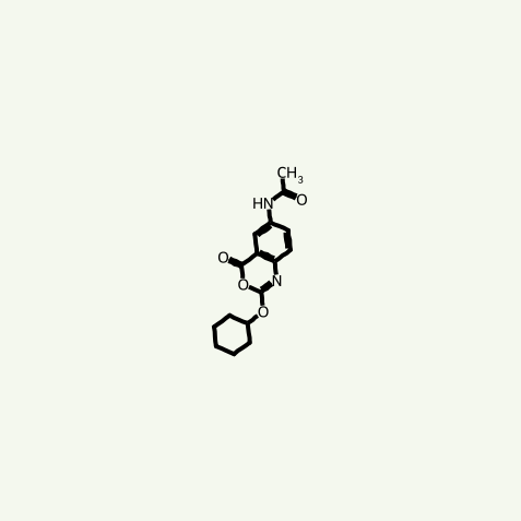 CC(=O)Nc1ccc2nc(OC3CCCCC3)oc(=O)c2c1